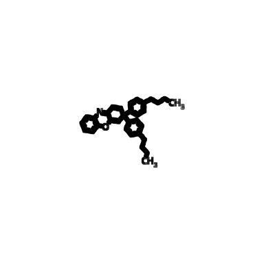 CCCCc1ccc(C2(c3ccc(CCCC)cc3)C=CC3=Nc4ccccc4OC3=C2)cc1